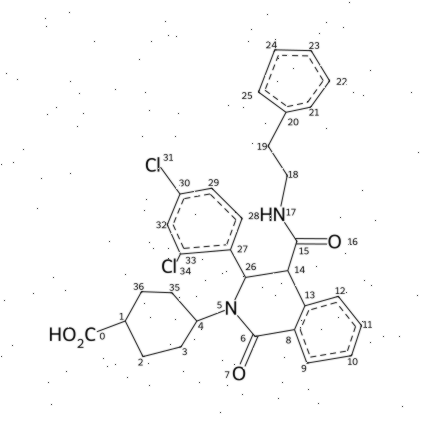 O=C(O)C1CCC(N2C(=O)c3ccccc3C(C(=O)NCCc3ccccc3)C2c2ccc(Cl)cc2Cl)CC1